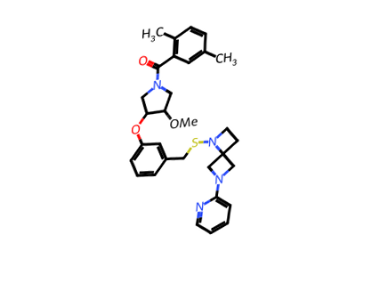 COC1CN(C(=O)c2cc(C)ccc2C)CC1Oc1cccc(CSN2CCC23CN(c2ccccn2)C3)c1